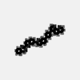 c1ccc2nc(-c3ccc4ccc(-c5ccc6ccc(-c7ccc(-c8ccnc9c8ccc8cccnc89)cc7)cc6n5)cc4n3)ncc2c1